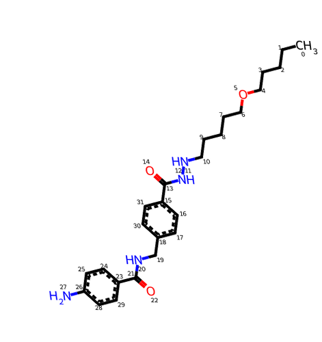 CCCCCOCCCCCNNC(=O)c1ccc(CNC(=O)c2ccc(N)cc2)cc1